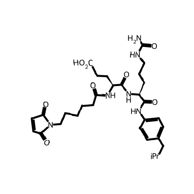 CC(C)Cc1ccc(NC(=O)[C@H](CCCNC(N)=O)NC(=O)[C@H](CCC(=O)O)NC(=O)CCCCCN2C(=O)C=CC2=O)cc1